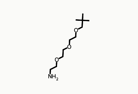 CC(C)(C)COCCOCCOCCN